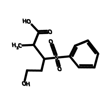 CC(C(=O)O)C(CCO)S(=O)(=O)c1ccccc1